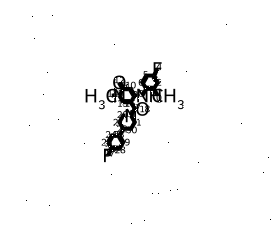 Cc1cc(F)ccc1Nc1cc(=O)n(C)cc1C(=O)N1CCC(c2ccc(F)cc2)CC1